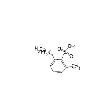 Cc1cccc(C)c1S(=O)(=O)O.[CaH2]